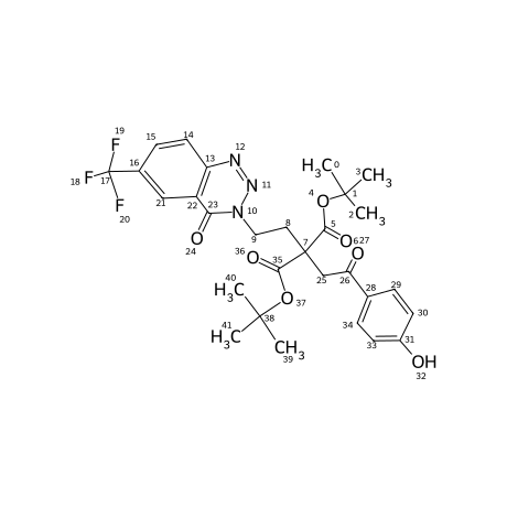 CC(C)(C)OC(=O)C(CCn1nnc2ccc(C(F)(F)F)cc2c1=O)(CC(=O)c1ccc(O)cc1)C(=O)OC(C)(C)C